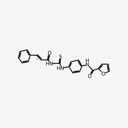 O=C(/C=C/c1ccccc1)NC(=S)Nc1ccc(NC(=O)c2ccco2)cc1